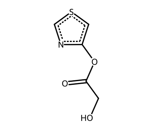 O=C(CO)Oc1cscn1